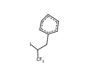 FC(F)(F)C(I)Cc1ccccc1